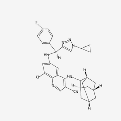 [2H][C@](Nc1cc(Cl)c2ncc(C#N)c(NC3[C@H]4C[C@H]5C[C@H](C4)C[C@H]3C5)c2c1)(c1ccc(F)cc1)c1cn(C2CC2)nn1